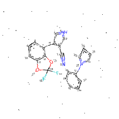 N#Cc1c[nH]cc1-c1cccc2c1OC(F)(F)O2.c1ccc(-n2cccc2)cc1